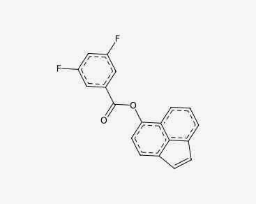 O=C(Oc1ccc2c3c(cccc13)C=C2)c1cc(F)cc(F)c1